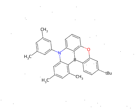 Cc1cc(C)cc(N2c3cc(C)cc(C)c3B3c4ccc(C(C)(C)C)cc4Oc4cccc2c43)c1